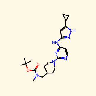 CN(CC1CCN(c2nccc(Nc3cc(C4CC4)[nH]n3)n2)CC1)C(=O)OC(C)(C)C